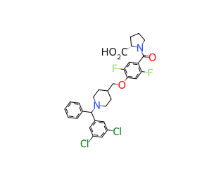 O=C(O)[C@@H]1CCCN1C(=O)c1cc(F)c(OCC2CCN(C(c3ccccc3)c3cc(Cl)cc(Cl)c3)CC2)cc1F